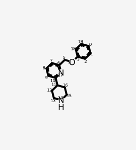 c1ccc(OCc2cccc(C3CCNCC3)n2)cc1